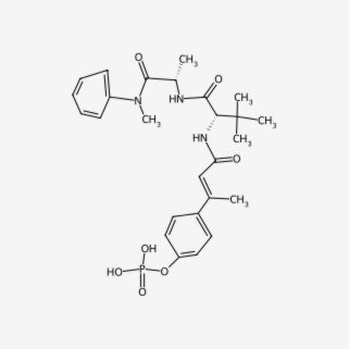 C/C(=C\C(=O)N[C@H](C(=O)N[C@@H](C)C(=O)N(C)c1ccccc1)C(C)(C)C)c1ccc(OP(=O)(O)O)cc1